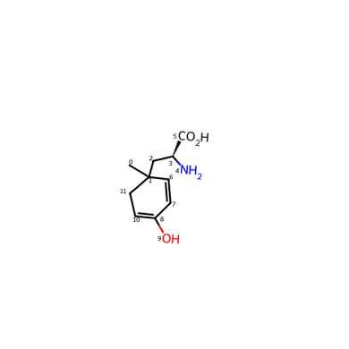 CC1(C[C@H](N)C(=O)O)C=CC(O)=CC1